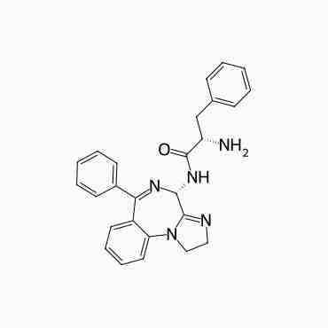 N[C@@H](Cc1ccccc1)C(=O)N[C@H]1N=C(c2ccccc2)c2ccccc2N2CCN=C12